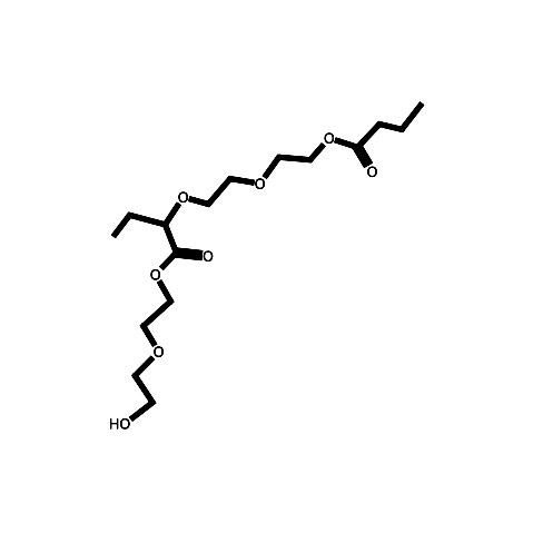 CCCC(=O)OCCOCCOC(CC)C(=O)OCCOCCO